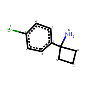 NC1(c2ccc(Br)cc2)CCC1